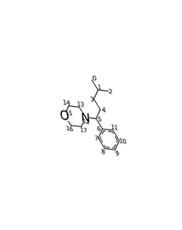 CC(C)CCC(c1ccccc1)N1CCOCC1